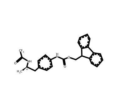 C[C@H](Cc1ccc(NC(=O)OCC2c3ccccc3-c3ccccc32)cc1)NC(=O)C(F)(F)F